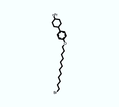 CCCC1CCC(c2ccc(OCCCCCCCCCCCCBr)cc2)CC1